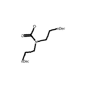 CCCCCCCCCCCCN(CCCCCCCCCCCC)C([O])=O